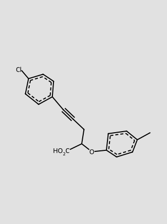 Cc1ccc(OC(CC#Cc2ccc(Cl)cc2)C(=O)O)cc1